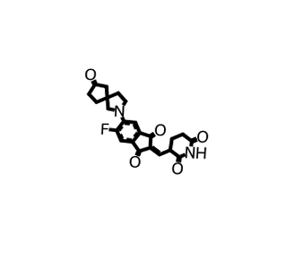 O=C1CCC2(CCN(c3cc4c(cc3F)C(=O)/C(=C/C3CCC(=O)NC3=O)C4=O)C2)C1